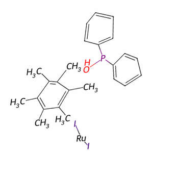 Cc1c(C)c(C)c(C)c(C)c1C.OP(c1ccccc1)c1ccccc1.[I][Ru][I]